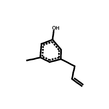 C=CCc1cc(C)cc(O)c1